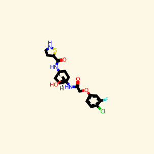 O=C(COc1ccc(Cl)c(F)c1)NC12CCC(NC(=O)C3CCNS3)(CC1)C[C@@H]2O